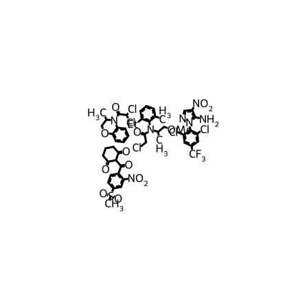 CC1COc2ccccc2N1C(=O)C(Cl)Cl.CCc1cccc(C)c1N(C(=O)CCl)C(C)COC.CS(=O)(=O)c1ccc(C(=O)C2C(=O)CCCC2=O)c([N+](=O)[O-])c1.Nc1c([N+](=O)[O-])cnn1-c1c(Cl)cc(C(F)(F)F)cc1Cl